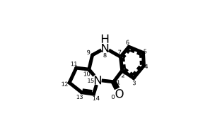 O=C1c2ccccc2NCC2CCC=CN12